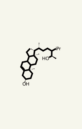 CC(C)C(CC[C@@H](C)[C@H]1CCC2C3CC=C4C[C@@H](O)CC[C@]4(C)C3CC[C@@]21C)[C@@H](C)O